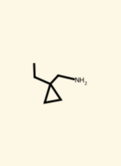 CCC1(CN)CC1